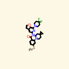 CC(C)Sc1ccc(C(=O)Nc2cc3ccoc3c(N3CCC(F)(F)CC3)n2)c(N2CCC3(CC2)CC3)c1